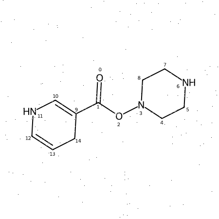 O=C(ON1CCNCC1)C1=CNC=CC1